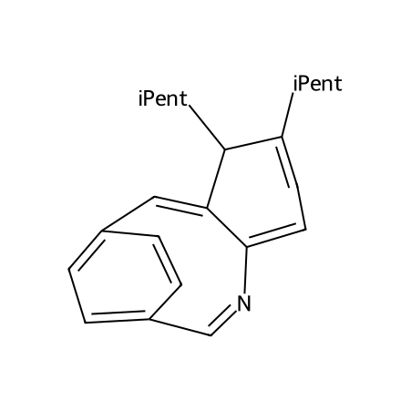 CCCC(C)C1=CC=C2/N=C\c3ccc(cc3)/C=C\2C1C(C)CCC